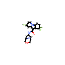 O=C(NC1CC2COCC(C1)N2)c1c2c(n3ccc(F)cc13)CCC(F)(F)C2